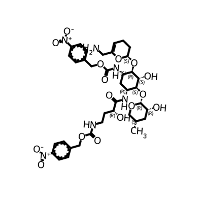 C[C@@H]1CO[C@H](O[C@@H]2[C@@H](O)[C@H](O[C@@H]3CCC=C(CN)O3)[C@@H](NC(=O)OCc3ccc([N+](=O)[O-])cc3)C[C@H]2NC(=O)[C@H](O)CCNC(=O)OCc2ccc([N+](=O)[O-])cc2)[C@H](O)C1